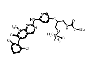 Cn1c(=O)c(-c2c(Cl)cccc2Cl)cc2cnc(Nc3ccc(O[C@@H](CNC(=O)OC(C)(C)C)CO[Si](C)(C)C(C)(C)C)cn3)nc21